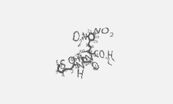 O=C(Cc1cccs1)NC1C(=O)N2C(C(=O)O)=C(/C=C/c3ccc([N+](=O)[O-])cc3[N+](=O)[O-])CS[C@H]12